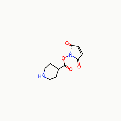 O=C(ON1C(=O)C=CC1=O)C1CCNCC1